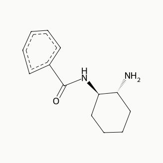 N[C@@H]1CCCC[C@H]1NC(=O)c1ccccc1